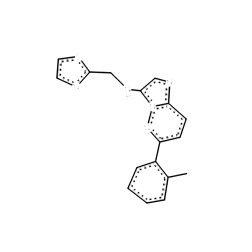 Fc1ccccc1-c1ccc2ncc(NCc3nccs3)n2n1